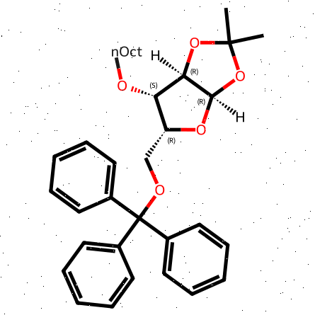 CCCCCCCCO[C@@H]1[C@H]2OC(C)(C)O[C@H]2O[C@@H]1COC(c1ccccc1)(c1ccccc1)c1ccccc1